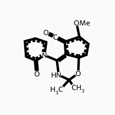 COc1ccc2c(c1=C=O)=C(n1ccccc1=O)NC(C)(C)O2